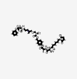 CCN(COC/C(C)=C/CC[P+]([O-])=N[C@](C)(Oc1ccccc1)C(=O)O)C(=O)OCc1ccc(NC(=O)[C@H](C)NC(=O)[C@@H](NC(=O)CCCCCN2C(=O)C=CC2=O)C(C)C)cc1